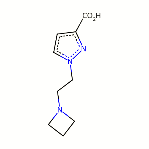 O=C(O)c1ccn(CCN2CCC2)n1